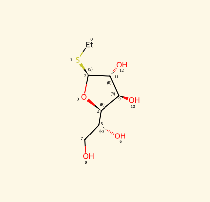 CCS[C@@H]1O[C@H]([C@H](O)CO)[C@H](O)[C@H]1O